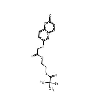 CCC(C)(C)C(=O)OCCOC(=O)COc1ccc2oc(=O)ccc2c1